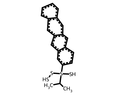 CC(C)S(S)(SS)c1ccc2cc3cc4ccccc4cc3cc2c1